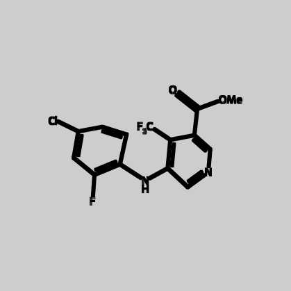 COC(=O)c1cncc(Nc2ccc(Cl)cc2F)c1C(F)(F)F